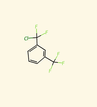 FC(F)(F)c1cccc(C(F)(F)Cl)c1